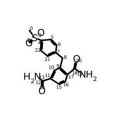 CS(=O)(=O)c1ccc(Cc2cc(C(N)=O)ccc2C(N)=O)cc1